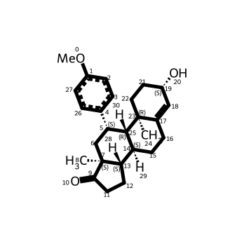 COc1ccc([C@H]2C[C@]3(C)C(=O)CC[C@H]3[C@@H]3CCC4=C[C@@H](O)CC[C@]4(C)[C@H]32)cc1